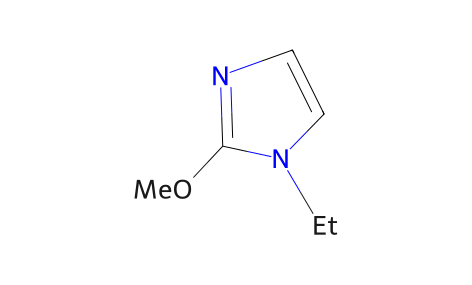 CCn1ccnc1OC